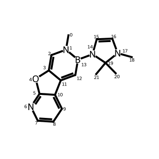 CN1C=c2oc3ncccc3c2=CB1N1C=CN(C)C1(C)C